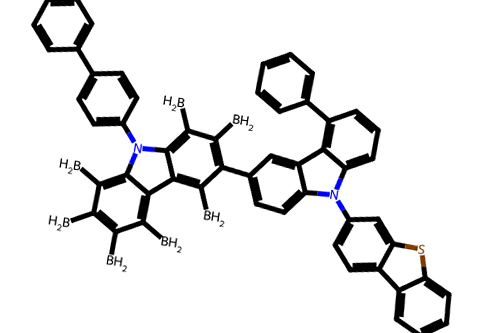 Bc1c(B)c(B)c2c(c1B)c1c(B)c(-c3ccc4c(c3)c3c(-c5ccccc5)cccc3n4-c3ccc4c(c3)sc3ccccc34)c(B)c(B)c1n2-c1ccc(-c2ccccc2)cc1